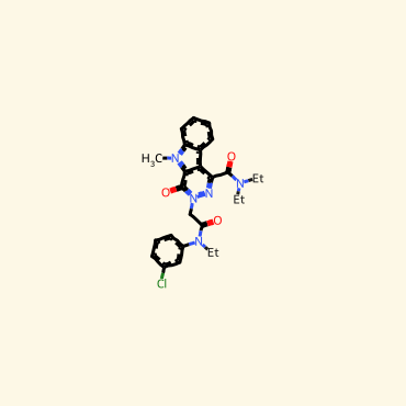 CCN(CC)C(=O)c1nn(CC(=O)N(CC)c2cccc(Cl)c2)c(=O)c2c1c1ccccc1n2C